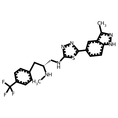 CN[C@@H](CNc1nnc(-c2ccc3[nH]nc(C)c3c2)s1)Cc1ccc(C(F)(F)F)cc1